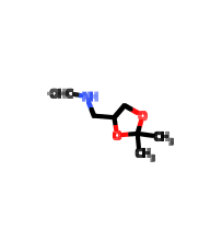 CC1(C)OCC(CN[C]=O)O1